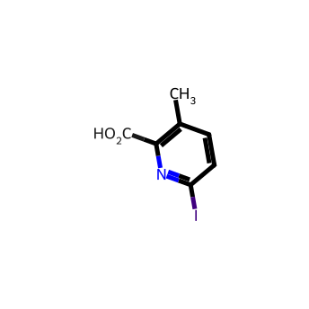 Cc1ccc(I)nc1C(=O)O